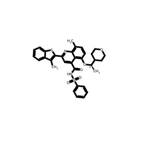 Cc1c(-c2cc(C(=O)NS(=O)(=O)c3ccccc3)c3c(O[C@H](C)C4CCOCC4)ccc(C)c3n2)sc2ccccc12